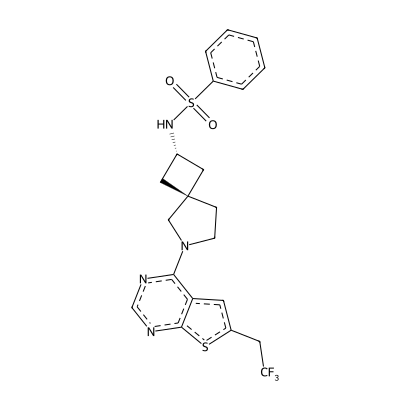 O=S(=O)(N[C@H]1C[C@]2(CCN(c3ncnc4sc(CC(F)(F)F)cc34)C2)C1)c1ccccc1